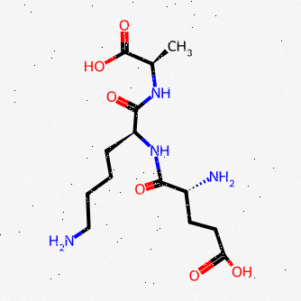 C[C@@H](NC(=O)[C@H](CCCCN)NC(=O)[C@H](N)CCC(=O)O)C(=O)O